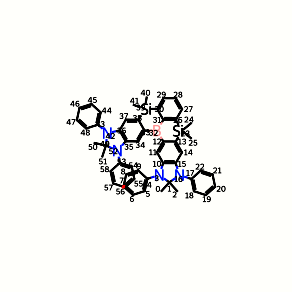 CC1(C)N(c2ccccc2)c2cc3c(cc2N1c1ccccc1)[Si](C)(C)c1cccc2c1B3c1cc3c(cc1[Si]2(C)C)N(c1ccccc1)C(C)(C)N3c1ccccc1